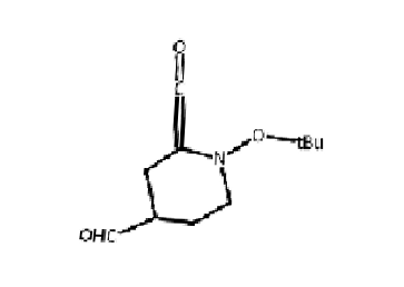 CC(C)(C)ON1CCC(C=O)CC1=C=O